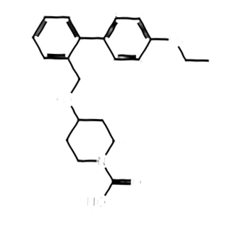 CCOc1ccc(-c2ccccc2COC2CCN(C(=O)O)CC2)cc1